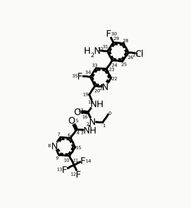 CCN(NC(=O)c1cncc(C(F)(F)F)c1)C(=O)NCc1ncc(-c2cc(Cl)cc(F)c2N)cc1F